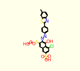 Cc1ccc2nc(-c3ccc(N=Nc4c(SOOO)cc5cc(S(=O)(=O)O)cc(Cl)c5c4O)cc3)sc2c1